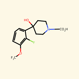 O=C(O)N1CCC(O)(c2cccc(OC(F)(F)F)c2F)CC1